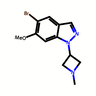 COc1cc2c(cnn2C2CN(C)C2)cc1Br